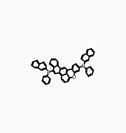 c1ccc(B(c2ccc3ccccc3c2)c2cc3c4cccc5c4c(cc3c3ccccc23)-c2ccc(N(c3ccccc3)c3ccc4ccccc4c3)cc2O5)cc1